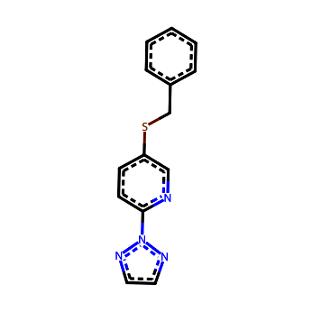 c1ccc(CSc2ccc(-n3nccn3)nc2)cc1